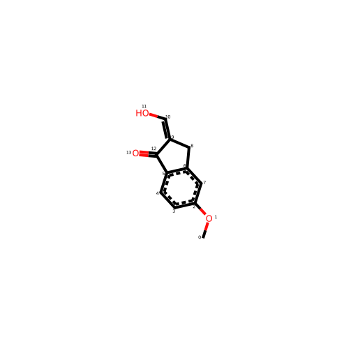 COc1ccc2c(c1)C/C(=C/O)C2=O